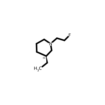 CC[C@H]1CCCN(CCF)C1